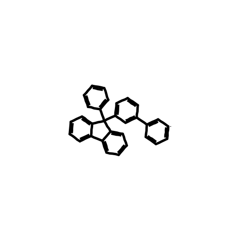 [c]1cccc(-c2cccc(C3(c4ccccc4)c4ccccc4-c4ccccc43)c2)c1